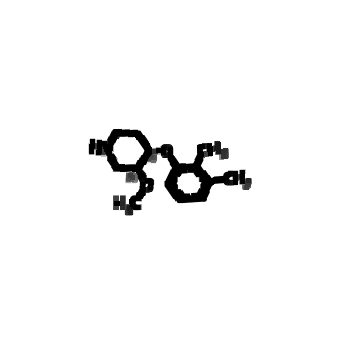 CO[C@H]1CNCC[C@@H]1Oc1cccc(C)c1C